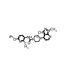 Cc1nc(OC(C)C)ccc1NC(=O)N1CCN(c2ccnc3c2cnn3C)[C@@H](C)C1